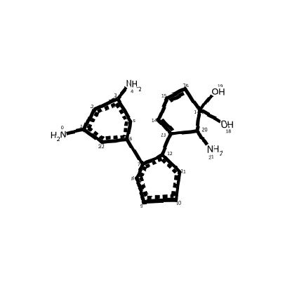 Nc1cc(N)cc(-c2ccccc2C2=CC=CC(O)(O)C2N)c1